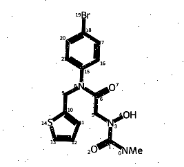 CNC(=O)N(O)CC(=O)N(Cc1cccs1)c1ccc(Br)cc1